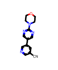 N#Cc1cncc(-c2cnc(N3CCOCC3)nc2)c1